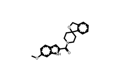 COc1ccc2cc(C(=O)N3CCC4(CC3)OCc3ccccc34)[nH]c2c1